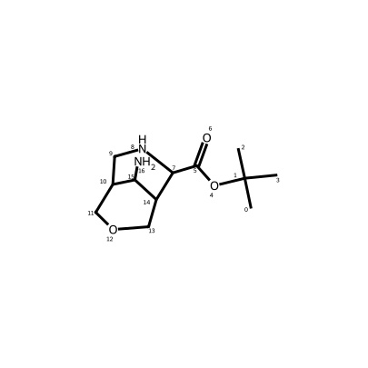 CC(C)(C)OC(=O)C1NCC2COCC1C2N